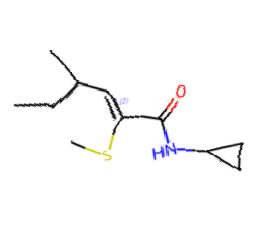 CCC(C)/C=C(\SC)C(=O)NC1CC1